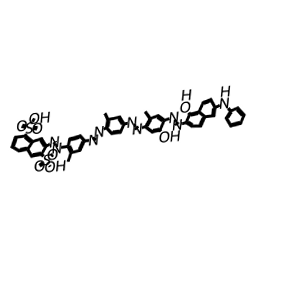 Cc1cc(N=Nc2cc(O)c(N=Nc3ccc4cc(Nc5ccccc5)ccc4c3O)cc2C)ccc1N=Nc1ccc(N=Nc2cc3c(S(=O)(=O)O)cccc3cc2S(=O)(=O)O)c(C)c1